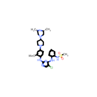 COc1cc(N2CCC(N3C[C@@H](C)N[C@@H](C)C3)CC2)ccc1Nc1ncc(Cl)c(Nc2ccccc2NS(C)(=O)=O)n1